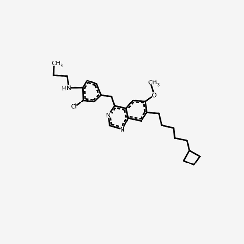 CCCNc1ccc(Cc2ncnc3cc(CCCCCC4CCC4)c(OC)cc23)cc1Cl